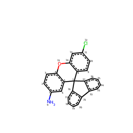 Nc1ccc2c(c1)C1(c3ccc(Cl)cc3O2)c2ccccc2-c2ccccc21